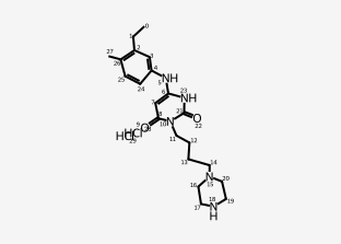 CCc1cc(Nc2cc(=O)n(CCCCN3CCNCC3)c(=O)[nH]2)ccc1C.Cl.Cl